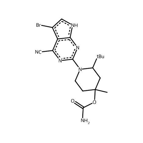 CC1(OC(N)=O)CCN(c2nc(C#N)c3c(Br)c[nH]c3n2)C(C(C)(C)C)C1